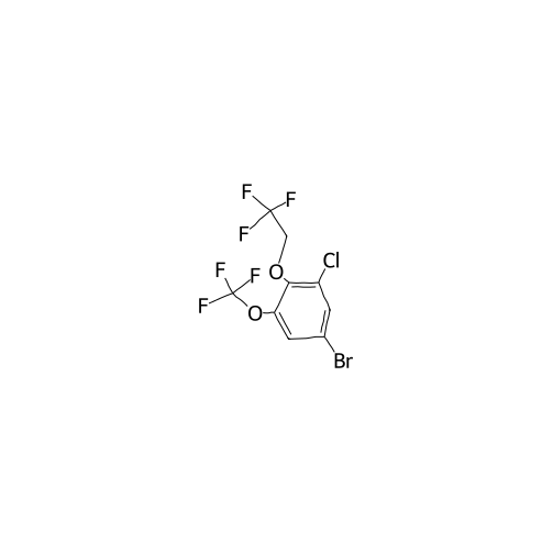 FC(F)(F)COc1c(Cl)cc(Br)cc1OC(F)(F)F